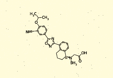 BN(CC(=O)O)[C@H]1CCCc2c(-c3noc(-c4ccc(OC(C)C)c(C#N)c4)n3)cccc21